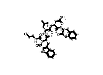 CC(C)C[C@H](NC(=O)[C@H](Cc1c[nH]c2ccccc12)N(N=O)C(=O)NCCCl)C(=O)N[C@@H](CC(N)=O)C(=O)N[C@@H](Cc1ccccc1)C(N)=O